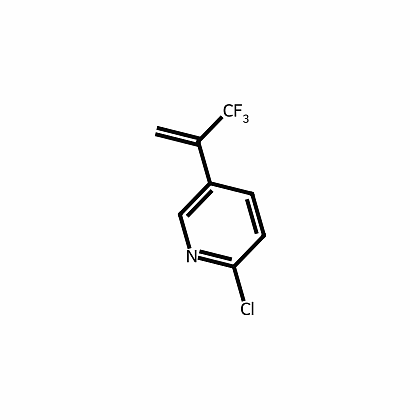 C=C(c1ccc(Cl)nc1)C(F)(F)F